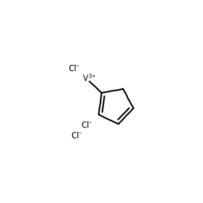 [Cl-].[Cl-].[Cl-].[V+3][C]1=CC=CC1